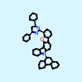 c1ccc(-c2cc(-c3ccccc3)nc(-c3cccc4c3oc3c4ccc4c3c3ccccc3n4-c3cc4ccccc4c4ccccc34)n2)cc1